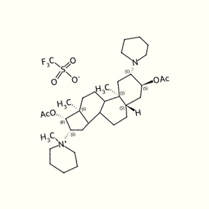 CC(=O)O[C@H]1C[C@@H]2CCC3C4C[C@H]([N+]5(C)CCCCC5)[C@H](OC(C)=O)[C@@]4(C)CCC3[C@@]2(C)C[C@@H]1N1CCCCC1.O=S(=O)([O-])C(F)(F)F